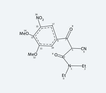 CCN(CC)C(=O)C(C#N)C(=O)c1cc(OC)c(OC)c([N+](=O)[O-])c1